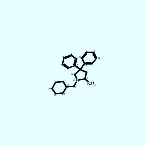 CC1CC(c2ccccc2)(c2ccccc2)CN1CC1CCCCC1